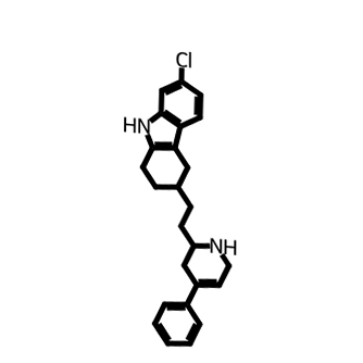 Clc1ccc2c3c([nH]c2c1)CCC(CCC1CC(c2ccccc2)=CCN1)C3